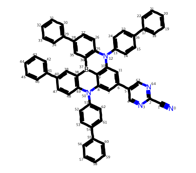 N#Cc1ncc(-c2cc3c4c(c2)N(c2ccc(-c5ccccc5)cc2)c2ccc(-c5ccccc5)cc2B4c2cc(-c4ccccc4)ccc2N3c2ccc(-c3ccccc3)cc2)cn1